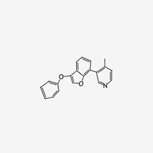 Cc1ccncc1-c1cccc2c(Oc3ccccc3)coc12